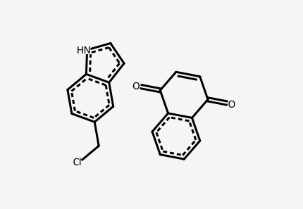 ClCc1ccc2[nH]ccc2c1.O=C1C=CC(=O)c2ccccc21